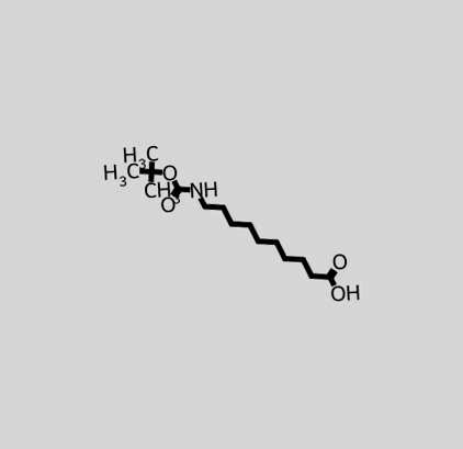 CC(C)(C)OC(=O)NCCCCCCCCCC(=O)O